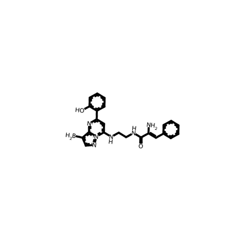 Bc1cnn2c(NCCNC(=O)/C(N)=C/c3ccccc3)cc(-c3ccccc3O)nc12